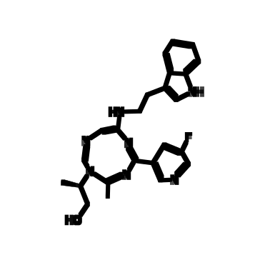 Cc1nc(-c2cncc(F)c2)nc(NCCc2c[nH]c3ccccc23)cncn1[C@H](C)CO